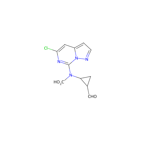 O=CC1CC1N(C(=O)O)c1nc(Cl)cc2ccnn12